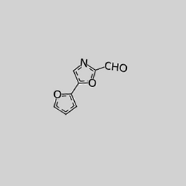 O=Cc1ncc(-c2ccco2)o1